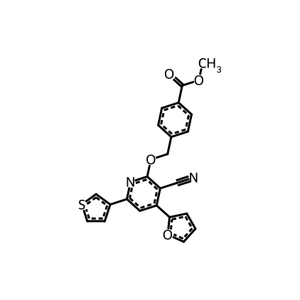 COC(=O)c1ccc(COc2nc(-c3ccsc3)cc(-c3ccco3)c2C#N)cc1